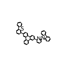 c1cc(-c2ccc3c4ccc(-c5cccc6c5sc5ccccc56)cc4c4ccccc4c3c2)nc(-n2c3ccccc3c3ccccc32)c1